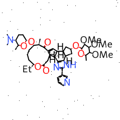 CC[C@H]1CCC[C@H](O[C@H]2CC[C@H](N(C)C)C(C)O2)[C@@H](C)C(=O)C2=C[C@H]3[C@@H]4C[C@H](OC5OC(C)C(OC)C(OC)C5OC)C[C@H]4c4[nH]c(-c5cccnc5)nc4[C@H]3[C@@H]2CC(=O)O1